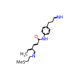 C/C=C(\C=N/CCSC)/C=C/C(=O)Nc1ccc(CCC=N)cc1